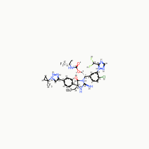 C[C@H](NC(=O)OC[C@H](c1ccc(Cl)c(-n2ncnc2C(F)F)c1)N1C(=N)N[C@](CC(C)(C)C)(c2ccc(-c3cn(C4(C(F)(F)F)CC4)nn3)cc2)C1=O)C(F)(F)F